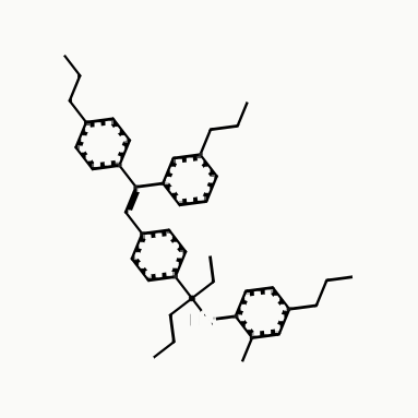 CCCc1ccc(C(=Cc2ccc(C(CC)(CCC)Nc3ccc(CCC)cc3C)cc2)c2cccc(CCC)c2)cc1